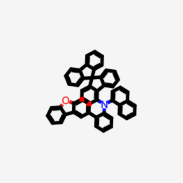 c1ccc(N(c2cccc3c2-c2ccccc2C32c3ccccc3-c3ccccc32)c2cccc3ccccc23)c(-c2ccc3oc4ccccc4c3c2)c1